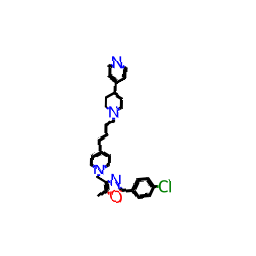 Cc1oc(-c2ccc(Cl)cc2)nc1CN1CCC(CCCCN2CCC(c3ccncc3)CC2)CC1